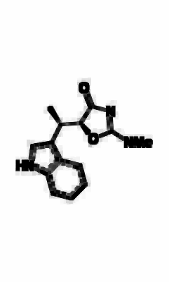 CNC1=NC(=O)[C@H]([C@H](C)c2c[nH]c3ccccc23)O1